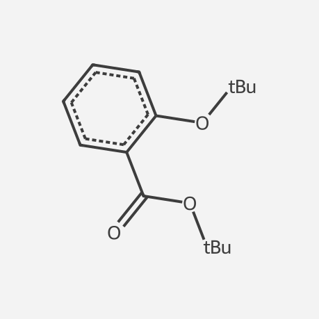 CC(C)(C)OC(=O)c1ccccc1OC(C)(C)C